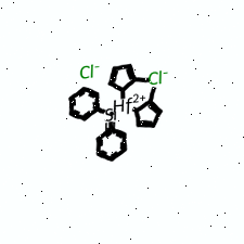 CC1=CC=C[CH]1[Hf+2]([CH]1C=CC=C1C)[SiH](c1ccccc1)c1ccccc1.[Cl-].[Cl-]